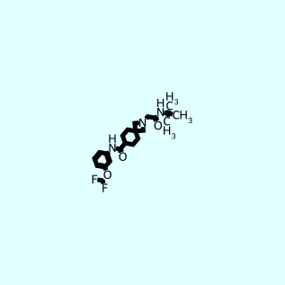 CC(C)(C)NC(=O)CN1CC2(CCC(C(=O)Nc3cccc(OC(F)F)c3)CC2)C1